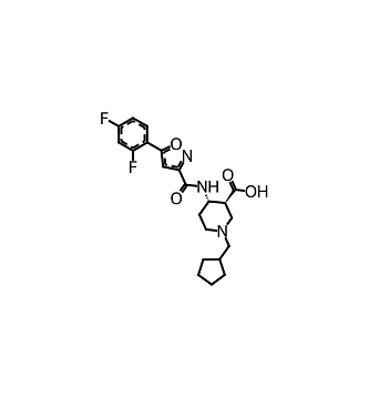 O=C(N[C@H]1CCN(CC2CCCC2)C[C@@H]1C(=O)O)c1cc(-c2ccc(F)cc2F)on1